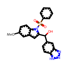 COc1ccc2c(c1)cc(C(O)c1ccc3[nH]nnc3c1)n2S(=O)(=O)c1ccccc1